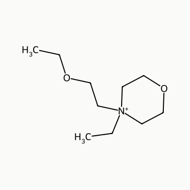 CCOCC[N+]1(CC)CCOCC1